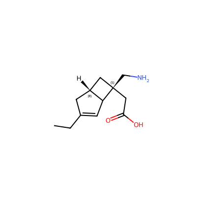 CCC1=CC2[C@H](C1)C[C@]2(CN)CC(=O)O